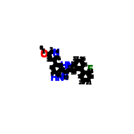 COc1cncc(-c2ccc3[nH]nc(-c4cc5c(-c6ccccc6F)cccc5[nH]4)c3c2)c1